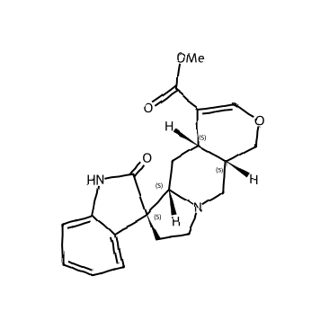 COC(=O)C1=COC[C@@H]2CN3CC[C@@]4(C(=O)Nc5ccccc54)[C@@H]3C[C@H]12